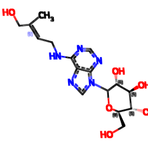 C/C(=C\CNc1ncnc2c1ncn2C1O[C@H](CO)[C@@H](O)[C@H](O)[C@H]1O)CO